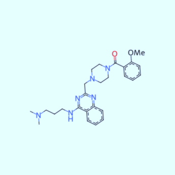 COc1ccccc1C(=O)N1CCN(Cc2nc(NCCCN(C)C)c3ccccc3n2)CC1